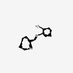 Nc1ccccc1/N=C/c1ccccn1